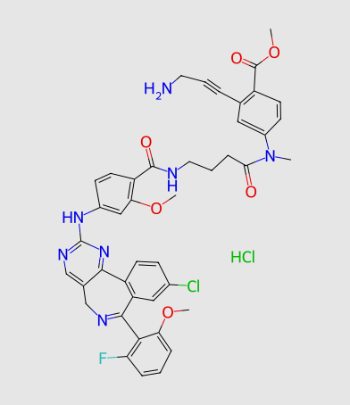 COC(=O)c1ccc(N(C)C(=O)CCCNC(=O)c2ccc(Nc3ncc4c(n3)-c3ccc(Cl)cc3C(c3c(F)cccc3OC)=NC4)cc2OC)cc1C#CCN.Cl